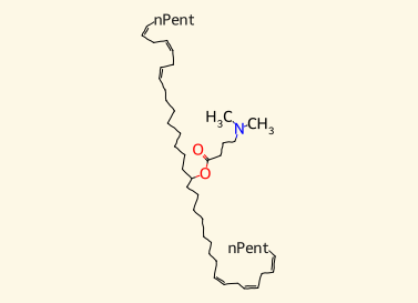 CCCCC/C=C\C/C=C\C/C=C\CCCCCCCCC(CCCCCCCC/C=C\C/C=C\C/C=C\CCCCC)OC(=O)CCCN(C)C